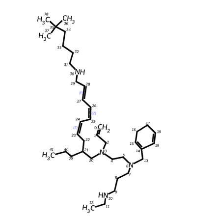 C=CCN(CCN(CCCNCC)CC1=CCCC=C1)CC(C\C=C/C=C\C=C\CNCCCCC(C)(C)C)CCC